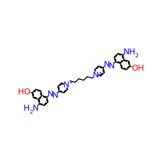 Nc1ccc(N=Nc2cc[n+](CCCCCC[n+]3ccc(/N=N/c4ccc(N)c5cc(O)ccc45)cc3)cc2)c2ccc(O)cc12